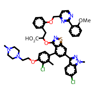 COc1ccccc1-c1nccc(COc2ccccc2CC(Oc2nsc3cc(-c4nn(C)c5cc(Cl)ccc45)cc(-c4ccc(OCCN5CCN(C)CC5)c(Cl)c4C)c23)C(=O)O)n1